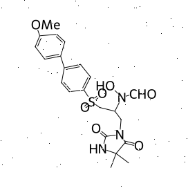 COc1ccc(-c2ccc(S(=O)(=O)CC(CN3C(=O)NC(C)(C)C3=O)N(O)C=O)cc2)cc1